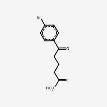 O=C(O)C(=O)CCCC(=O)c1ccc(Br)cc1